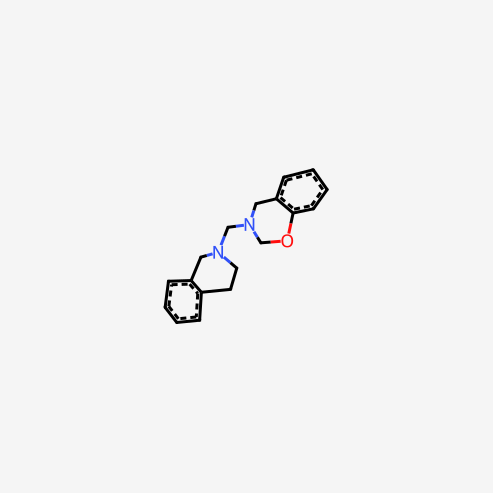 c1ccc2c(c1)CCN(CN1COc3ccccc3C1)C2